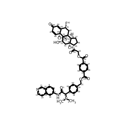 CN(C)C(C(=O)Nc1ccc2cnccc2c1)c1ccc(COC(=O)c2ccc(C(=O)OCC(=O)[C@H]3CCC4[C@@H]5C[C@H](F)C6=CC(=O)C=C[C@]6(C)[C@@]5(F)[C@@H](O)C[C@@]43C)cc2)cc1